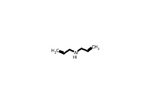 C=C[CH2][Al][CH2]C=C.I